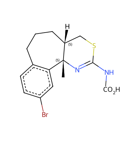 C[C@]12N=C(NC(=O)O)SC[C@H]1CCCc1ccc(Br)cc12